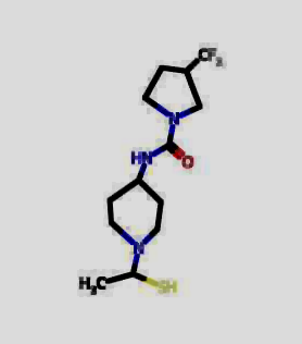 CC(S)N1CCC(NC(=O)N2CCC(C(F)(F)F)C2)CC1